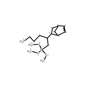 CCCCC(C[Si](OC)(OC)OC)C1CC2C=CC1C2